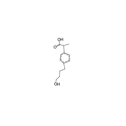 CC(C(=O)O)c1ccc(CCCCO)cc1